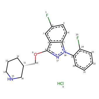 Cl.Fc1ccc2c(c1)c(OC[C@H]1CCCNC1)nn2-c1ccccc1F